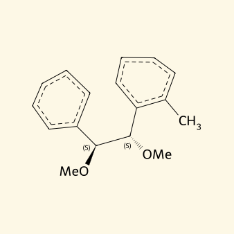 CO[C@@H](c1ccccc1)[C@@H](OC)c1ccccc1C